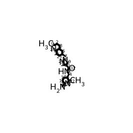 Cc1ccc2cc(Cn3cc(C(=O)NCc4ccc(N)nc4C)cn3)ccc2n1